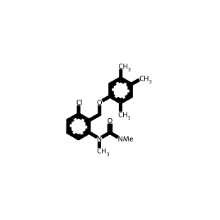 CNC(=O)N(C)c1cccc(Cl)c1COc1cc(C)c(C)cc1C